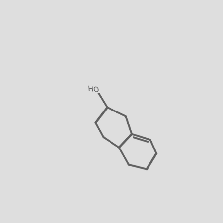 OC1CCC2CCCC=C2C1